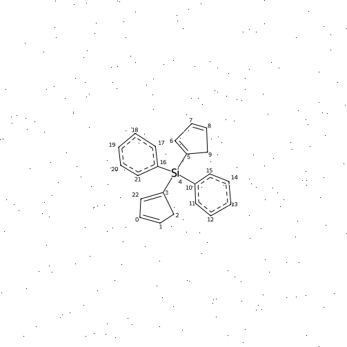 C1=CCC([Si](C2=CC=CC2)(c2ccccc2)c2ccccc2)=C1